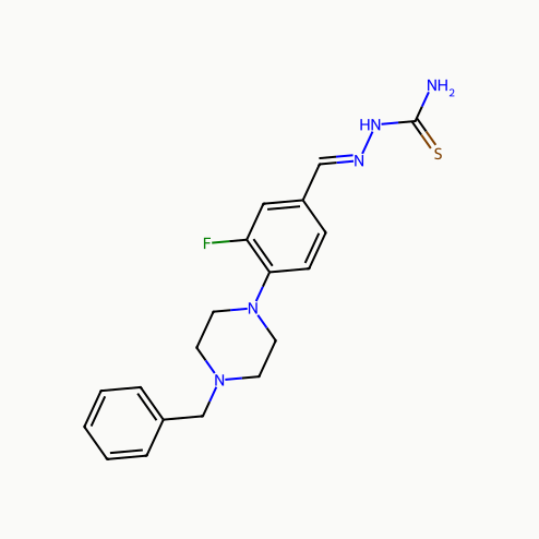 NC(=S)NN=Cc1ccc(N2CCN(Cc3ccccc3)CC2)c(F)c1